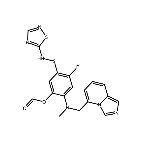 CN(Cc1cccc2cncn12)c1cc(F)c(SNc2ncns2)cc1OC=O